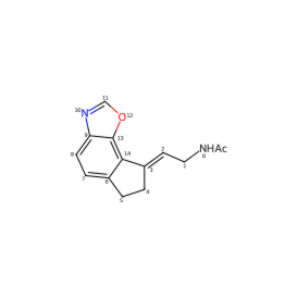 CC(=O)NCC=C1CCc2ccc3ncoc3c21